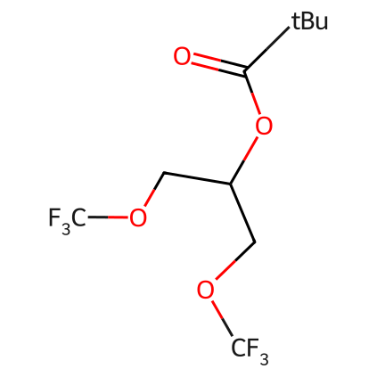 CC(C)(C)C(=O)OC(COC(F)(F)F)COC(F)(F)F